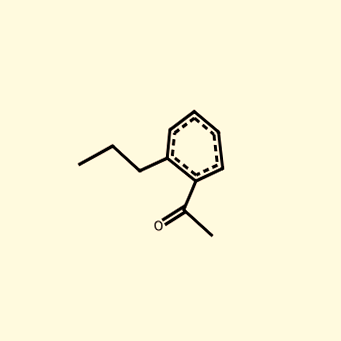 CCCc1ccccc1C(C)=O